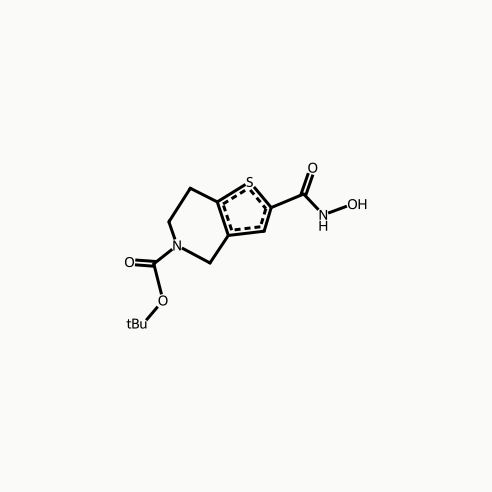 CC(C)(C)OC(=O)N1CCc2sc(C(=O)NO)cc2C1